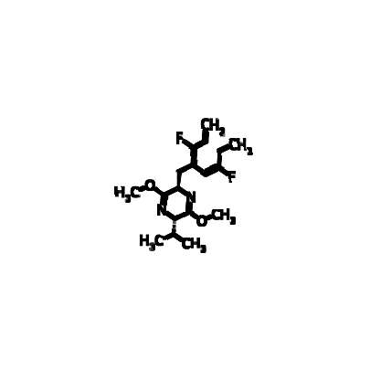 C=C/C(F)=C(\C=C(\F)CC)C[C@H]1N=C(OC)[C@H](C(C)C)N=C1OC